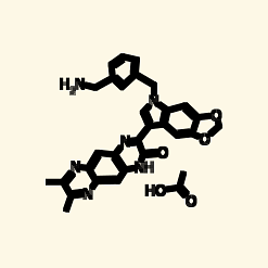 CC(=O)O.Cc1nc2cc3nc(-c4cn(Cc5cccc(CN)c5)c5cc6c(cc45)OCO6)c(=O)[nH]c3cc2nc1C